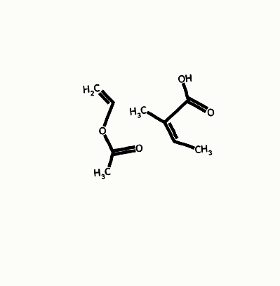 C=COC(C)=O.CC=C(C)C(=O)O